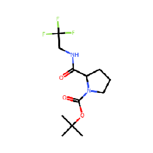 CC(C)(C)OC(=O)N1CCCC1C(=O)NCC(F)(F)F